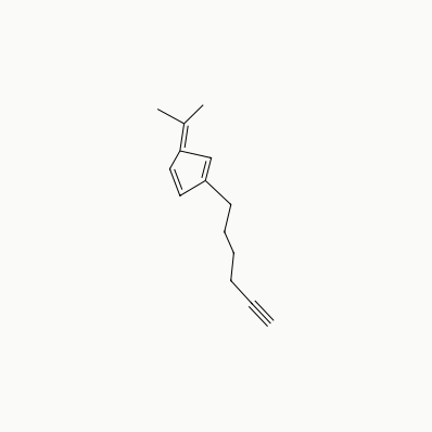 C#CCCCCC1=CC(=C(C)C)C=C1